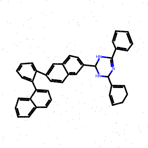 C1=CC(C2N=C(c3ccccc3)NC(c3ccc4cc(-c5ccccc5-c5cccc6ccccc56)ccc4c3)N2)=CCC1